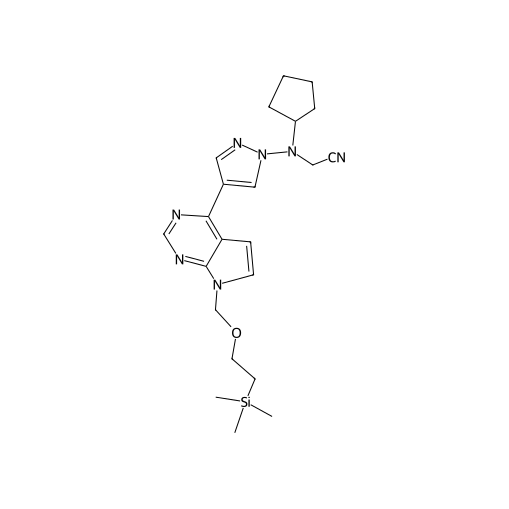 C[Si](C)(C)CCOCn1ccc2c(-c3cnn(N(CC#N)C4CCCC4)c3)ncnc21